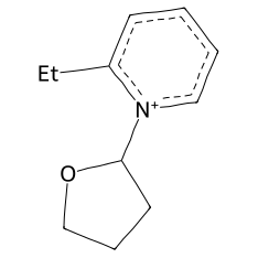 CCc1cccc[n+]1C1CCCO1